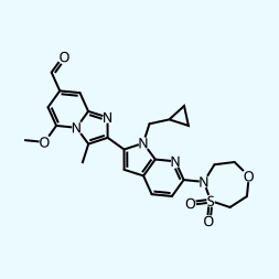 COc1cc(C=O)cc2nc(-c3cc4ccc(N5CCOCCS5(=O)=O)nc4n3CC3CC3)c(C)n12